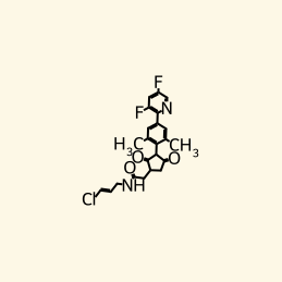 Cc1cc(-c2ncc(F)cc2F)cc(C)c1C1C(=O)CC(CC(=O)NC/C=C/Cl)C1=O